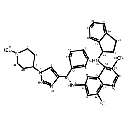 CC(C)(C)N1CCC(n2cc([C@@H](Nc3cc(Cl)c4ncc(C#N)c(NC5CCc6ccccc65)c4c3)c3ccccc3)nn2)CC1